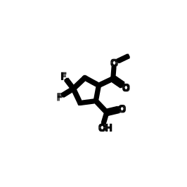 COC(=O)C1CC(F)(F)CC1C(=O)O